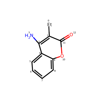 CCc1c(N)c2ccccc2oc1=O